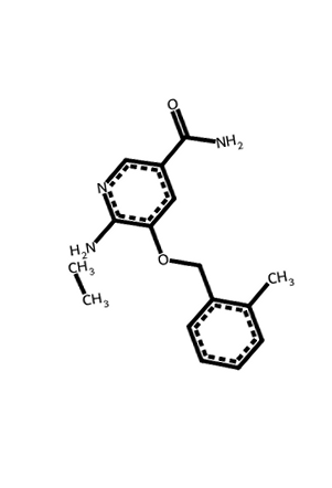 CC.Cc1ccccc1COc1cc(C(N)=O)cnc1N